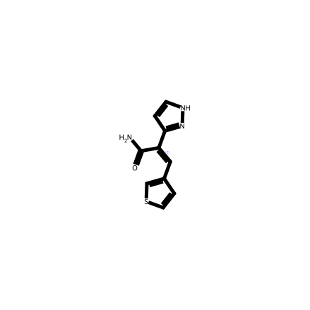 NC(=O)/C(=C\c1ccsc1)c1cc[nH]n1